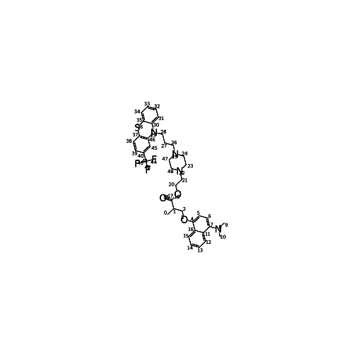 CC(COc1ccc(N(C)C)c2ccccc12)C(=O)OCCN1CCN(CCCN2c3ccccc3Sc3ccc(C(F)(F)F)cc32)CC1